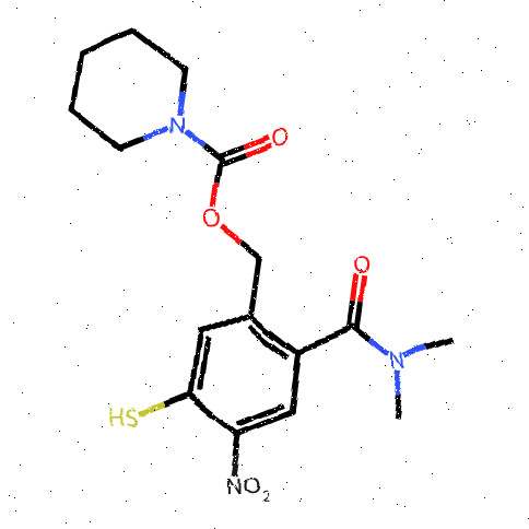 CN(C)C(=O)c1cc([N+](=O)[O-])c(S)cc1COC(=O)N1CCCCC1